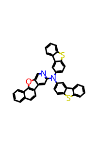 c1ccc2c(c1)ccc1c3cc(N(c4ccc5sc6ccccc6c5c4)c4ccc5sc6ccccc6c5c4)ncc3oc21